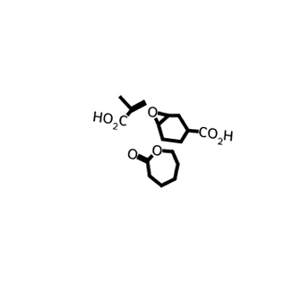 C=C(C)C(=O)O.O=C(O)C1CCC2OC2C1.O=C1CCCCCO1